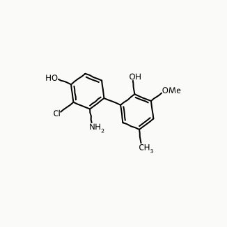 COc1cc(C)cc(-c2ccc(O)c(Cl)c2N)c1O